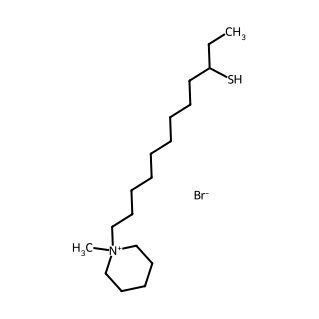 CCC(S)CCCCCCCCC[N+]1(C)CCCCC1.[Br-]